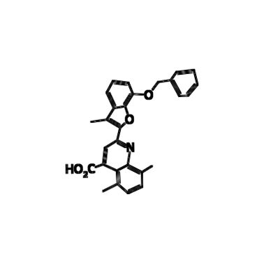 Cc1c(-c2cc(C(=O)O)c3c(C)ccc(C)c3n2)oc2c(OCc3ccccc3)cccc12